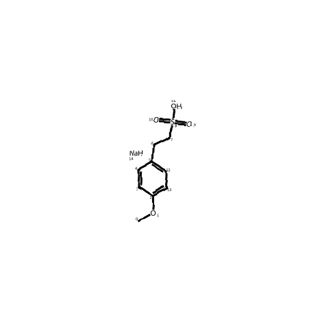 COc1ccc(CCS(=O)(=O)O)cc1.[NaH]